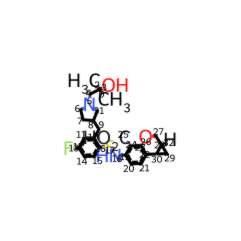 CC(C)(O)CN1CCC(Cc2cc(F)ccc2SNc2ccc3c(c2C(=O)O)OC[C@@H]2CC32)C1